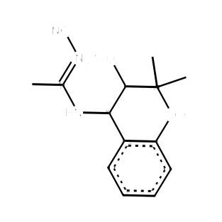 CC(=O)OC1C(NC(C)=NC#N)c2ccccc2OC1(C)C